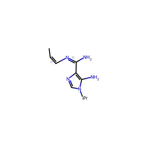 C/C=C\N=C(\N)c1ncn(C(C)C)c1N